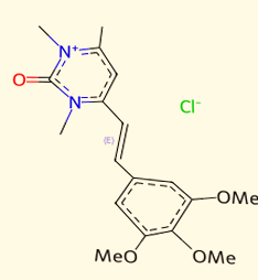 COc1cc(/C=C/c2cc(C)[n+](C)c(=O)n2C)cc(OC)c1OC.[Cl-]